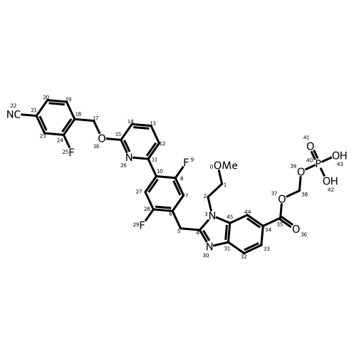 COCCn1c(Cc2cc(F)c(-c3cccc(OCc4ccc(C#N)cc4F)n3)cc2F)nc2ccc(C(=O)OCOP(=O)(O)O)cc21